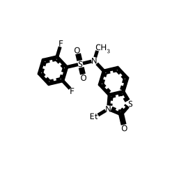 CCn1c(=O)sc2ccc(N(C)S(=O)(=O)c3c(F)cccc3F)cc21